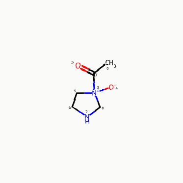 CC(=O)[N+]1([O-])CCNC1